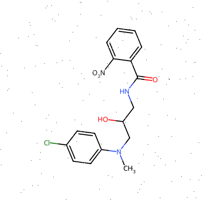 CN(CC(O)CNC(=O)c1ccccc1[N+](=O)[O-])c1ccc(Cl)cc1